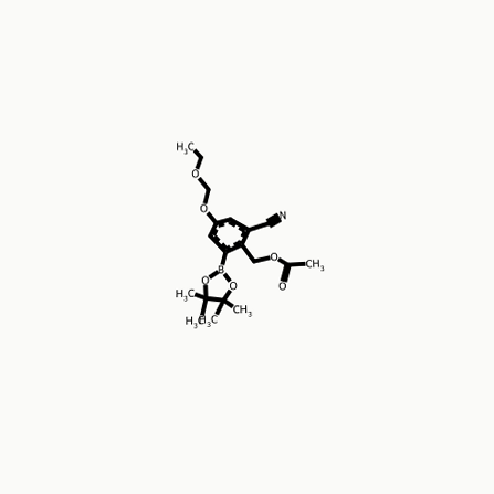 CCOCOc1cc(C#N)c(COC(C)=O)c(B2OC(C)(C)C(C)(C)O2)c1